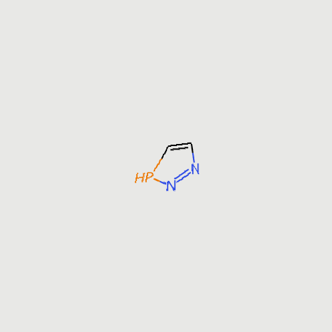 c1c[pH]nn1